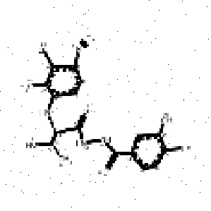 [C-]#[N+]c1ccc(N[C@@H](C(=O)NNC(=O)c2ccc(F)c(O)c2)[C@@H](C)O)c(C)c1Cl